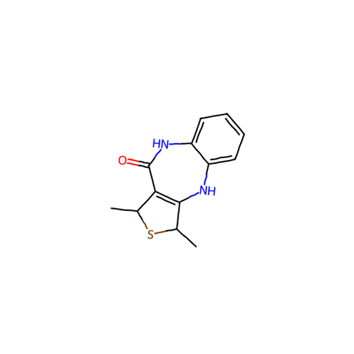 CC1SC(C)C2=C1Nc1ccccc1NC2=O